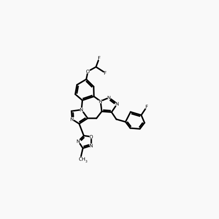 Cc1noc(-c2ncn3c2Cc2c(Cc4cccc(F)c4)nnn2-c2cc(OC(F)F)ccc2-3)n1